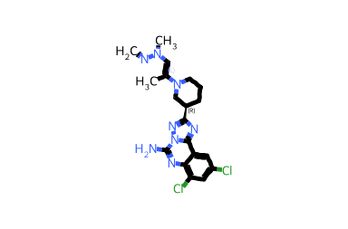 C=NN(C)/C=C(\C)N1CCC[C@@H](c2nc3c4cc(Cl)cc(Cl)c4nc(N)n3n2)C1